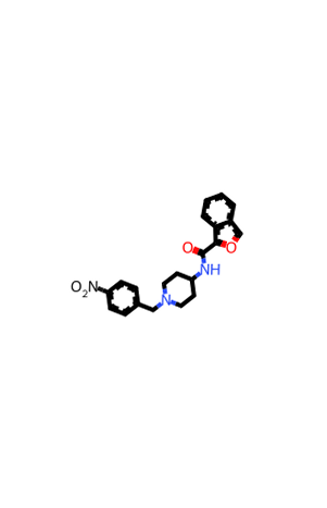 O=C(NC1CCN(Cc2ccc([N+](=O)[O-])cc2)CC1)c1occ2ccccc12